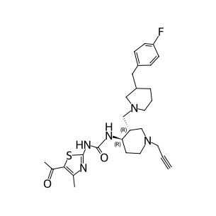 C#CCN1CC[C@@H](NC(=O)Nc2nc(C)c(C(C)=O)s2)[C@H](CN2CCCC(Cc3ccc(F)cc3)C2)C1